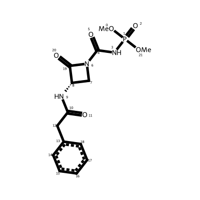 COP(=O)(NC(=O)N1C[C@H](NC(=O)Cc2ccccc2)C1=O)OC